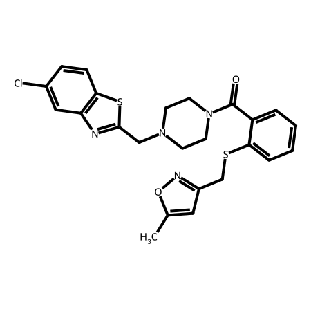 Cc1cc(CSc2ccccc2C(=O)N2CCN(Cc3nc4cc(Cl)ccc4s3)CC2)no1